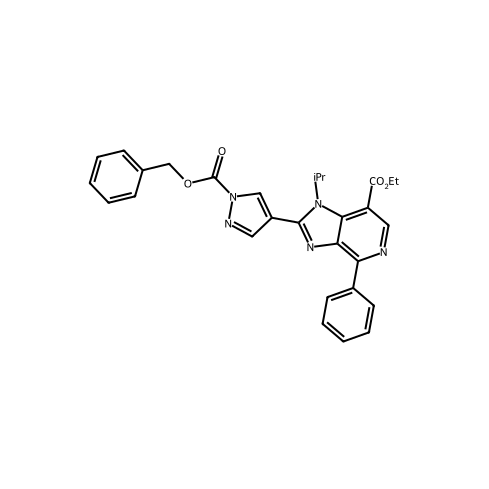 CCOC(=O)c1cnc(-c2ccccc2)c2nc(-c3cnn(C(=O)OCc4ccccc4)c3)n(C(C)C)c12